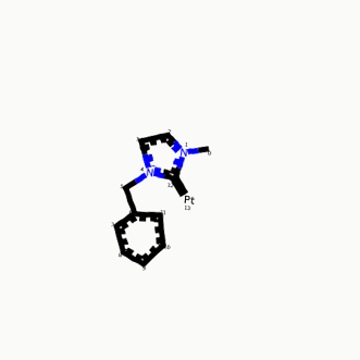 Cn1ccn(Cc2ccccc2)[c]1=[Pt]